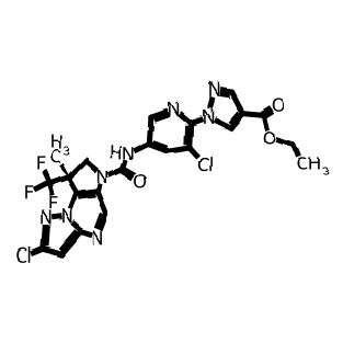 CCOC(=O)c1cnn(-c2ncc(NC(=O)N3C[C@@](C)(C(F)(F)F)c4c3cnc3cc(Cl)nn43)cc2Cl)c1